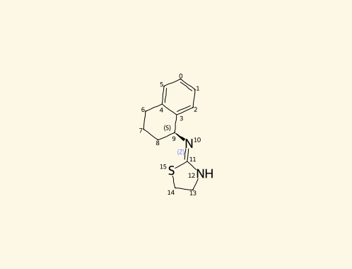 c1ccc2c(c1)CCC[C@@H]2/N=C1/NCCS1